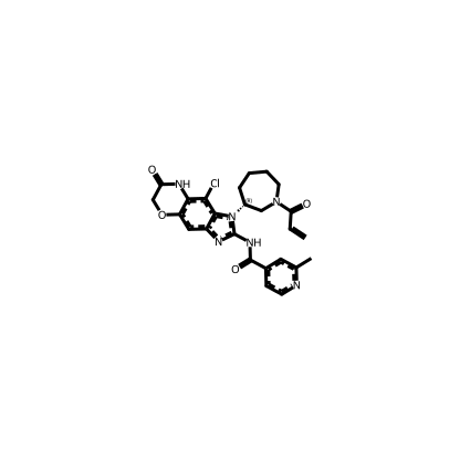 C=CC(=O)N1CCCC[C@@H](n2c(NC(=O)c3ccnc(C)c3)nc3cc4c(c(Cl)c32)NC(=O)CO4)C1